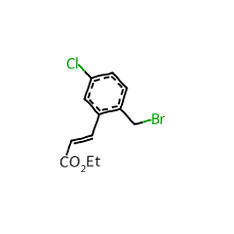 CCOC(=O)C=Cc1cc(Cl)ccc1CBr